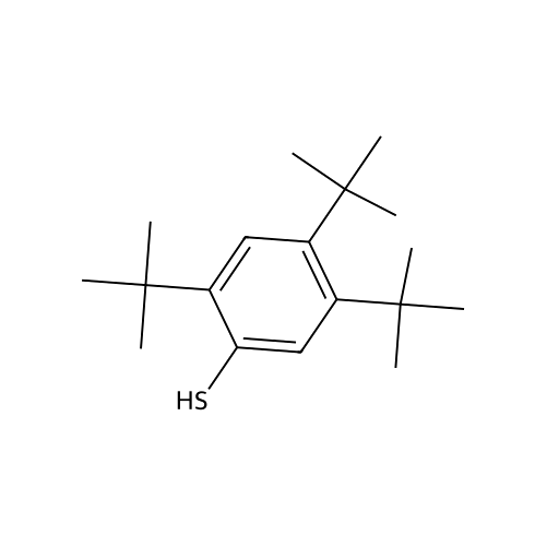 CC(C)(C)c1cc(C(C)(C)C)c(C(C)(C)C)cc1S